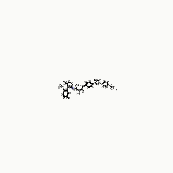 Cc1ccc(C(C)C)c(N2C(=O)CS/C2=N\C(=O)N[C@H](C)Cc2ccc(-c3ncn(-c4ccc(OC(F)(F)F)cc4)n3)cc2)c1